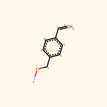 C=Cc1ccc(COI)cc1